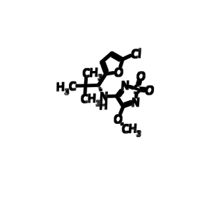 COC1=NS(=O)(=O)N=C1N[C@@H](c1ccc(Cl)o1)C(C)(C)C